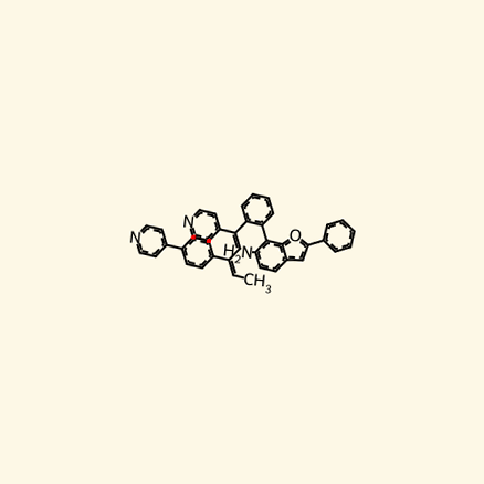 C/C=C(\C=C(c1ccncc1)c1ccccc1-c1c(N)ccc2cc(-c3ccccc3)oc12)c1ccc(-c2ccncc2)cc1